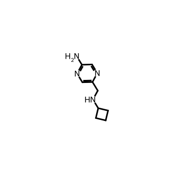 Nc1cnc(CNC2CCC2)cn1